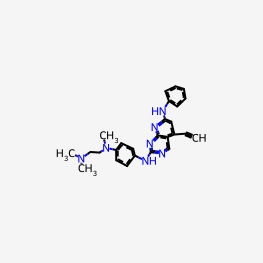 C#Cc1cc(Nc2ccccc2)nc2nc(Nc3ccc(N(C)CCN(C)C)cc3)ncc12